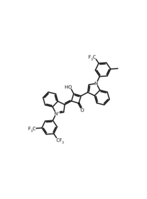 Cc1cc(-n2cc(C3=C(O)/C(=C4/C=[N+](c5cc(C(F)(F)F)cc(C(F)(F)F)c5)c5ccccc54)C3=O)c3ccccc32)cc(C(F)(F)F)c1